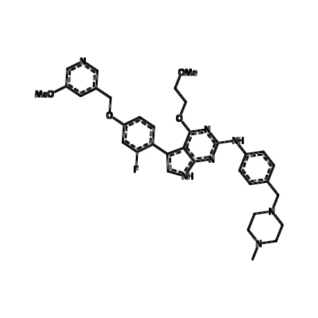 COCCOc1nc(Nc2ccc(CN3CCN(C)CC3)cc2)nc2[nH]cc(-c3ccc(OCc4cncc(OC)c4)cc3F)c12